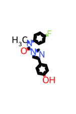 CN(C(=O)n1cnc(-c2ccc(O)cc2)c1)c1ccc(F)cc1